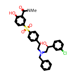 CNC(=O)c1cc(S(=O)(=O)c2ccc(CCN(Cc3ccccc3)C[C@@H](O)c3cccc(Cl)c3)cc2)ccc1O